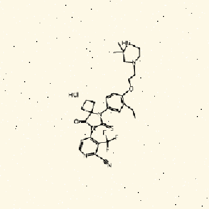 CCc1cc(N2C(=S)N(c3ccnc(C#N)c3C(F)(F)F)C(=O)C23CCC3)ccc1OCCN1CCNC(C)(C)C1.Cl